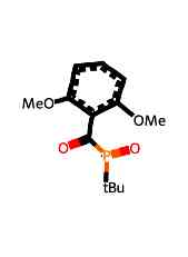 COc1cccc(OC)c1C(=O)[P](=O)C(C)(C)C